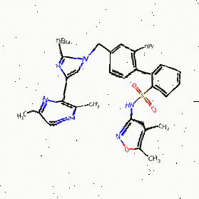 CCCCc1nc(-c2nc(C)cnc2C)cn1Cc1ccc(-c2ccccc2S(=O)(=O)Nc2noc(C)c2C)c(CCC)c1